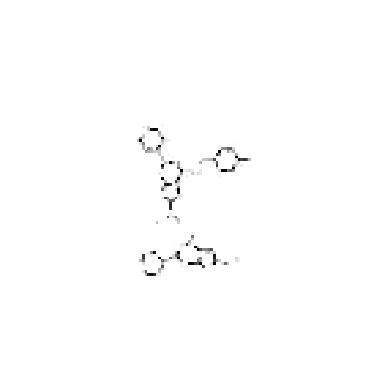 O=[N+]([O-])c1cc2c(Cl)nc(-c3ccncc3)nc2s1.O=[N+]([O-])c1cc2c(NCc3ccc(F)cc3)nc(-c3ccncc3)nc2s1